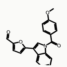 COc1ccc(C(=O)n2cc(-c3ccc(C=O)o3)c3ccccc32)cc1